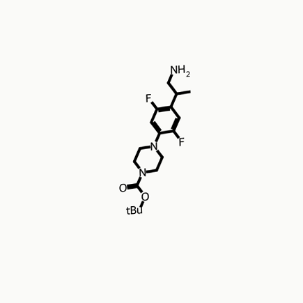 CC(CN)c1cc(F)c(N2CCN(C(=O)OC(C)(C)C)CC2)cc1F